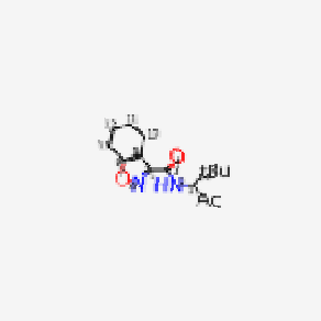 CC(=O)[C@@H](NC(=O)c1noc2c1CCCC2)C(C)(C)C